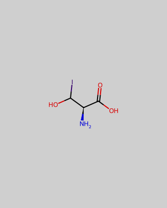 N[C@H](C(=O)O)C(O)I